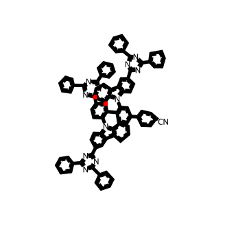 N#Cc1ccc(-c2ccc(-c3cc(-c4nc(-c5ccccc5)nc(-c5ccccc5)n4)ccc3-n3c4ccccc4c4cc(-c5nc(-c6ccccc6)nc(-c6ccccc6)n5)ccc43)c(-n3c4ccccc4c4cc(-c5nc(-c6ccccc6)nc(-c6ccccc6)n5)ccc43)c2)cc1